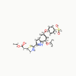 CCOC(=O)CC1CN=C(c2cc3cc(Oc4ccc(S(C)(=O)=O)cc4)cc(OC(C)C)c3[nH]2)S1